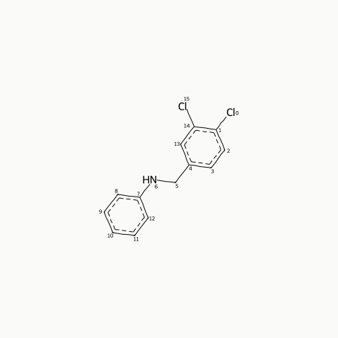 Clc1ccc(CNc2ccccc2)cc1Cl